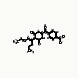 CCC/C(=N\OCC)C1C(=O)CN(C(=O)c2ccc([N+](=O)[O-])cc2)CC1=O